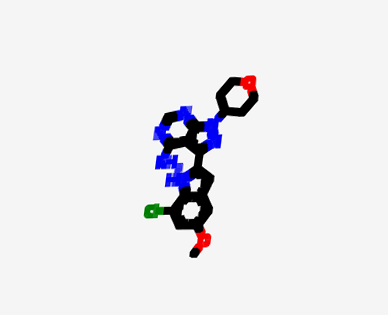 COc1cc(Cl)c2[nH]c(-c3nn(C4CCOCC4)c4ncnc(N)c34)cc2c1